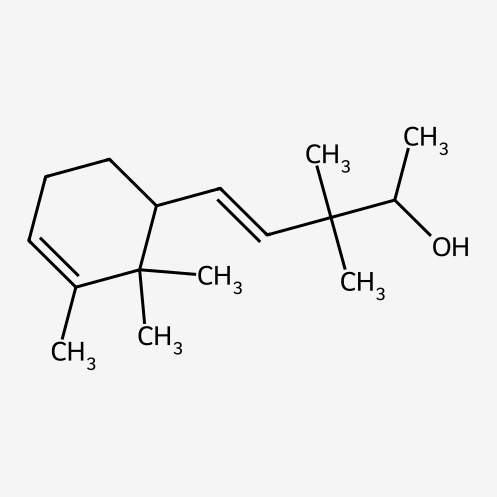 CC1=CCCC(/C=C/C(C)(C)C(C)O)C1(C)C